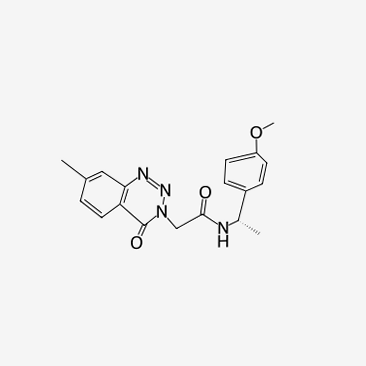 COc1ccc([C@H](C)NC(=O)Cn2nnc3cc(C)ccc3c2=O)cc1